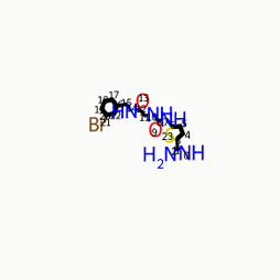 N=C(N)c1ccc(NC(=O)NCC(=O)NCc2cccc(Br)c2)s1